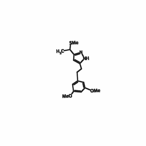 COc1cc(CCc2cc(C(C)SC)n[nH]2)cc(OC)c1